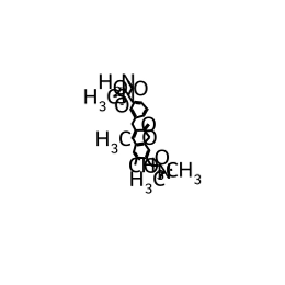 Cc1cc2c(C)c(Cc3cccc(N(C(N)=O)S(C)(=O)=O)c3)c(=O)oc2cc1OC(=O)N(C)C